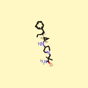 CC/C(=C\c1ccccc1)[C@@H]1C[C@H]1NC1CCN(CC(C)(C)C(N)=O)CC1